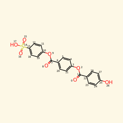 O=C(Oc1ccc(C(=O)Oc2ccc(S(=O)(=O)O)cc2)cc1)c1ccc(O)cc1